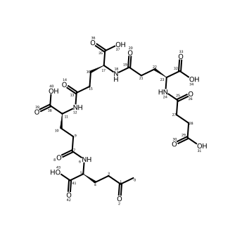 CC(=O)CC[C@H](NC(=O)CC[C@H](NC(=O)CC[C@H](NC(=O)CC[C@H](NC(=O)CCC(=O)O)C(=O)O)C(=O)O)C(=O)O)C(=O)O